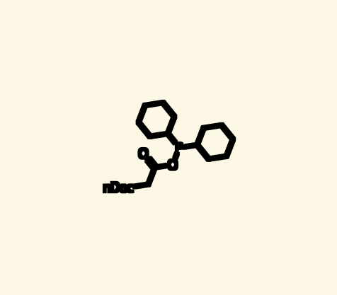 CCCCCCCCCCCC(=O)OP(C1CCCCC1)C1CCCCC1